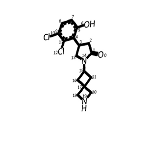 O=C1CC(c2c(O)ccc(Cl)c2Cl)CN1C1CC2(CNC2)C1